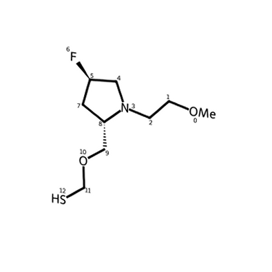 COCCN1C[C@H](F)C[C@H]1COCS